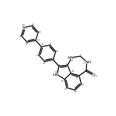 O=C1NCNc2c(-c3ccc(-c4ccncc4)cc3)[nH]c3cccc1c23